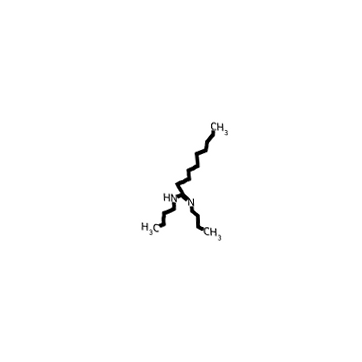 CCCCCCCCCC(=NCCCC)NCCCC